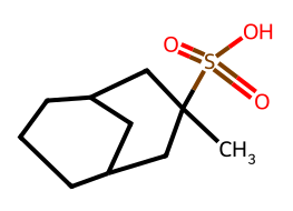 CC1(S(=O)(=O)O)CC2CCCC(C2)C1